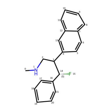 CNCC(c1ccc2ccccc2c1)[C@H](F)c1ccccc1